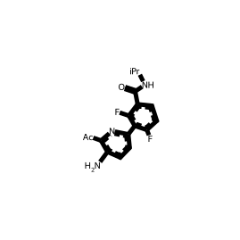 CC(=O)c1nc(-c2c(F)ccc(C(=O)NC(C)C)c2F)ccc1N